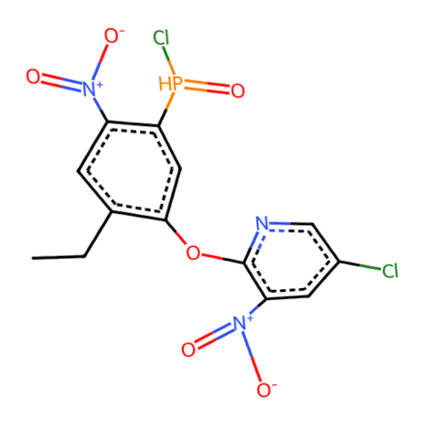 CCc1cc([N+](=O)[O-])c([PH](=O)Cl)cc1Oc1ncc(Cl)cc1[N+](=O)[O-]